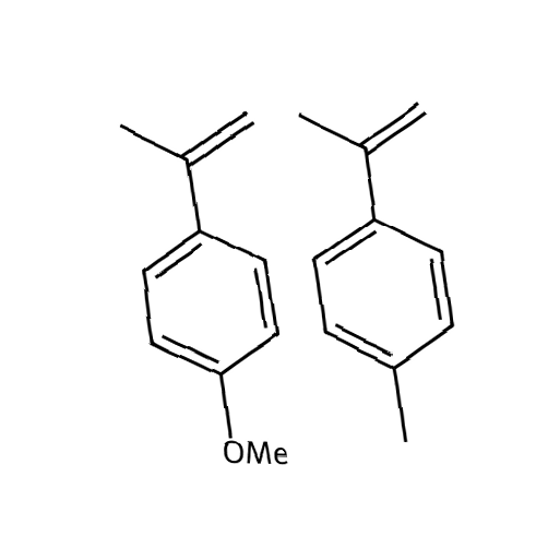 C=C(C)c1ccc(C)cc1.C=C(C)c1ccc(OC)cc1